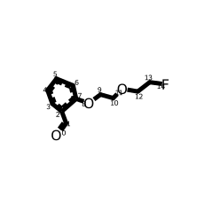 O=Cc1ccccc1OCCOCCF